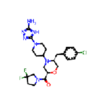 Nc1nnc(N2CCC(N3C[C@H](C(=O)N4CCC(F)(F)C4)OC[C@@H]3Cc3ccc(Cl)cc3)CC2)[nH]1